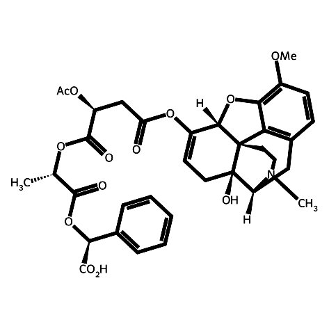 COc1ccc2c3c1O[C@H]1C(OC(=O)C[C@H](OC(C)=O)C(=O)O[C@@H](C)C(=O)O[C@H](C(=O)O)c4ccccc4)=CC[C@@]4(O)[C@@H](C2)N(C)CC[C@]314